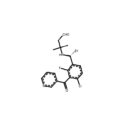 CC[C@@H](NC(C)(C)CC=O)c1ccc(Cl)c(C(=O)c2cccnc2)c1F